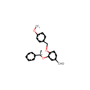 C[C@@H](Oc1cc(C=O)ccc1OCc1ccc(OC(F)(F)F)cc1)c1ccccc1